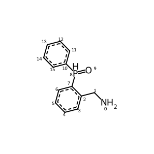 NCc1ccccc1[PH](=O)c1ccccc1